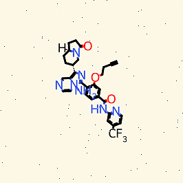 C#CCCOc1cc(C(=O)Nc2cc(C(F)(F)F)ccn2)ccc1C1=NC([C@@H]2CC[C@H]3CCC(=O)N3C2)=C2C=NC=C[N+]12N